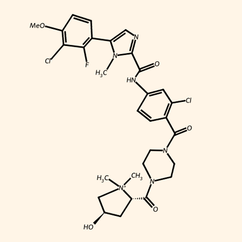 COc1ccc(-c2cnc(C(=O)Nc3ccc(C(=O)N4CCN(C(=O)[C@@H]5C[C@@H](O)C[N+]5(C)C)CC4)c(Cl)c3)n2C)c(F)c1Cl